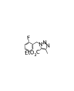 CCOC(=O)c1c(C)nnn1Cc1ccccc1F